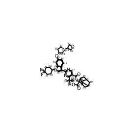 O=C(NC1(C(=O)O)C2CC3CC(C2)CC1C3)c1cnc(-c2cn(C3CCC(F)(F)CC3)c3cc(O[C@H]4CCN(C5COC5)C4)ccc23)nc1C(F)(F)F